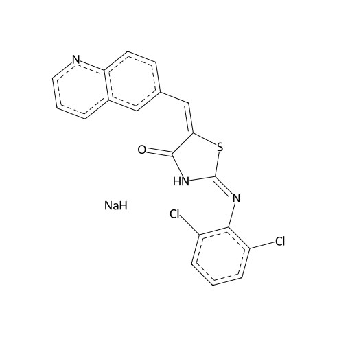 O=C1NC(=Nc2c(Cl)cccc2Cl)SC1=Cc1ccc2ncccc2c1.[NaH]